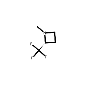 CN1CC[C@@H]1C(F)(F)F